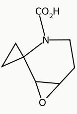 O=C(O)N1CCC2OC2C12CC2